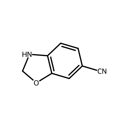 N#Cc1ccc2c(c1)OCN2